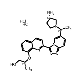 C[C@H](CO)Oc1cccc2ccc(-c3nnc4ccc([C@@H](N5CC[C@H](N)C5)C(F)(F)F)cn34)nc12.Cl.Cl